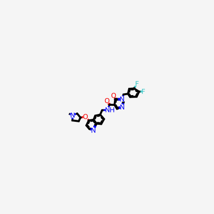 CN1CCC(Oc2ccnc3ccc(CNC(=O)c4cncn(Cc5ccc(F)c(F)c5)c4=O)cc23)C1